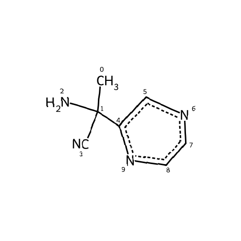 CC(N)(C#N)c1cnccn1